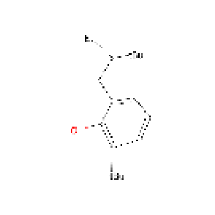 CCC(Cc1cccc(C(C)(C)C)c1O)C(C)(C)C